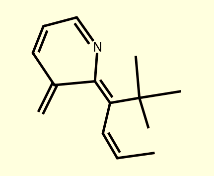 C=c1cccn/c1=C(/C=C\C)C(C)(C)C